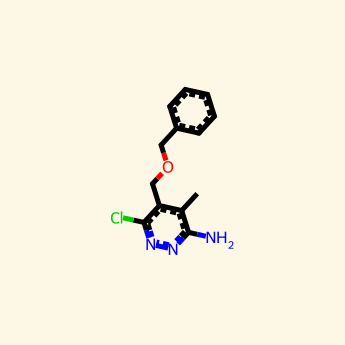 Cc1c(N)nnc(Cl)c1COCc1ccccc1